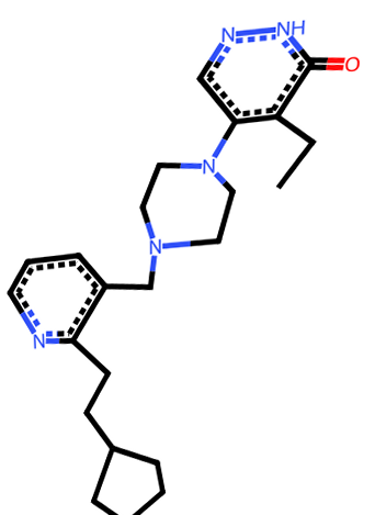 CCc1c(N2CCN(Cc3cccnc3CCC3CCCC3)CC2)cn[nH]c1=O